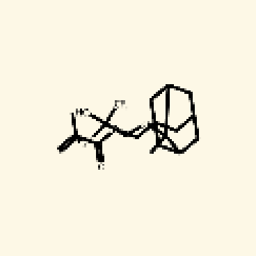 C=C(C)C(=O)OCC12CC3CC(C1)C(C)(OCC(O)(C(F)(F)F)C(F)(F)F)C(C3)C2